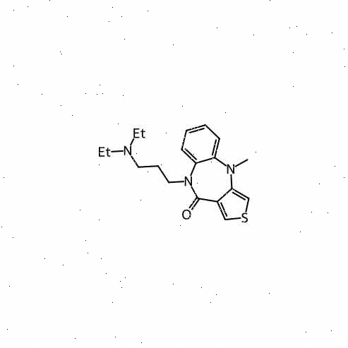 CCN(CC)CCCN1C(=O)c2cscc2N(C)c2ccccc21